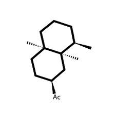 CC(=O)[C@H]1CC[C@@]2(C)CCC[C@@H](C)[C@@]2(C)C1